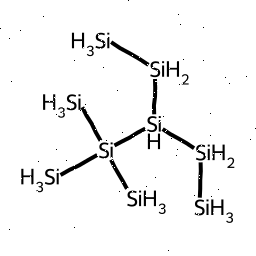 [SiH3][SiH2][SiH]([SiH2][SiH3])[Si]([SiH3])([SiH3])[SiH3]